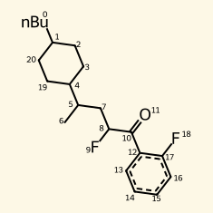 CCCCC1CCC(C(C)CC(F)C(=O)c2ccccc2F)CC1